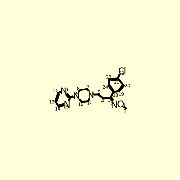 CO/N=C(/CCN1CCN(c2ncccn2)CC1)c1ccc(Cl)cc1